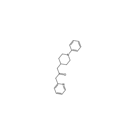 O=C(Cc1ccccn1)CC1CCN(c2ccccc2)CC1